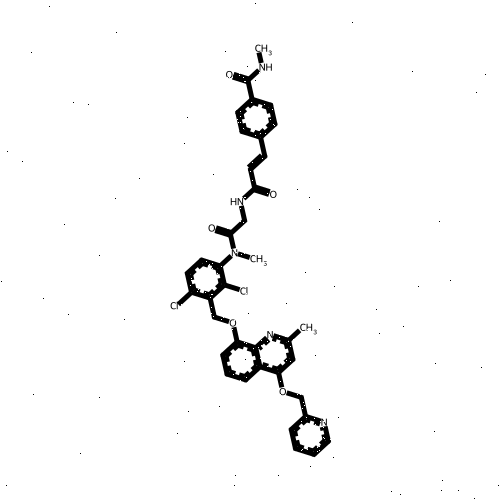 CNC(=O)c1ccc(/C=C/C(=O)NCC(=O)N(C)c2ccc(Cl)c(COc3cccc4c(OCc5ccccn5)cc(C)nc34)c2Cl)cc1